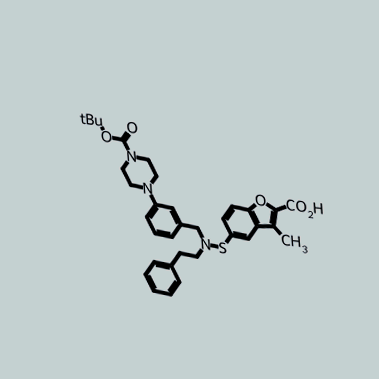 Cc1c(C(=O)O)oc2ccc(SN(CCc3ccccc3)Cc3cccc(N4CCN(C(=O)OC(C)(C)C)CC4)c3)cc12